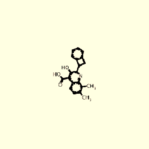 Cc1ccc2c(C(=O)O)c(O)c(C3Cc4ccccc43)nc2c1C